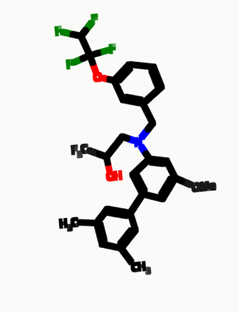 COc1cc(-c2cc(C)cc(C)c2)cc(N(Cc2cccc(OC(F)(F)C(F)F)c2)CC(O)C(F)(F)F)c1